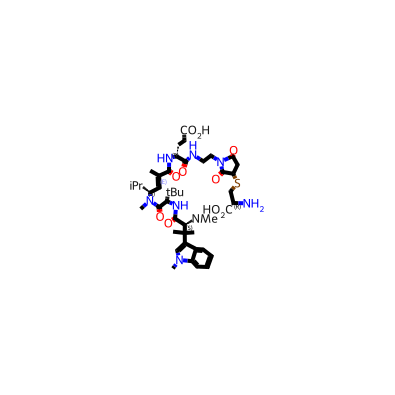 CN[C@H](C(=O)NC(C(=O)N(C)[C@H](/C=C(\C)C(=O)N[C@H](CCC(=O)O)C(=O)NCCN1C(=O)CC(SC[C@H](N)C(=O)O)C1=O)C(C)C)C(C)(C)C)C(C)(C)c1cn(C)c2ccccc12